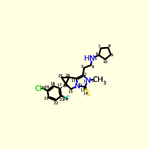 Cn1c(CCNC2CCCC2)c2n(c1=S)C[C@@]1(c3cc(Cl)ccc3F)CC21